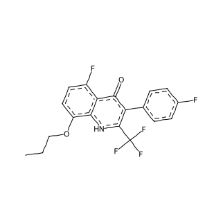 CCCOc1ccc(F)c2c(=O)c(-c3ccc(F)cc3)c(C(F)(F)F)[nH]c12